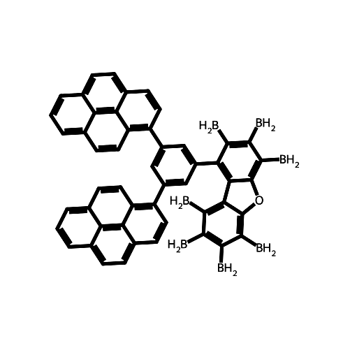 Bc1c(B)c(B)c2c(oc3c(B)c(B)c(B)c(-c4cc(-c5ccc6ccc7cccc8ccc5c6c78)cc(-c5ccc6ccc7cccc8ccc5c6c78)c4)c32)c1B